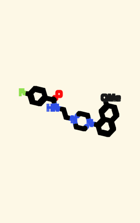 COc1ccc2cccc(N3CCN(CCNC(=O)c4ccc(F)cc4)CC3)c2c1